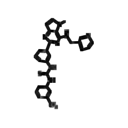 Cn1ccc2nc(-c3cccc(NC(=S)Nc4cccc(C(F)(F)F)c4)c3)nc(NCc3cccnc3)c21